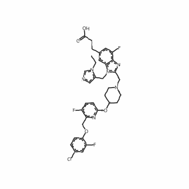 CCn1cncc1Cn1c(CN2CCC(Oc3ccc(F)c(COc4ccc(Cl)cc4F)n3)CC2)nc2c(F)cc(CCC(=O)O)cc21